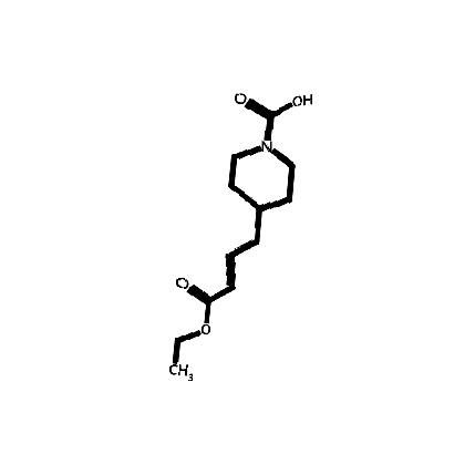 CCOC(=O)C=CCC1CCN(C(=O)O)CC1